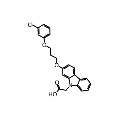 O=C(O)Cn1c2ccccc2c2ccc(OCCCOc3cccc(Cl)c3)cc21